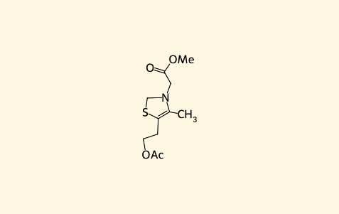 COC(=O)CN1CSC(CCOC(C)=O)=C1C